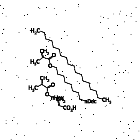 C=C(C)C(=O)OCCCCCC.C=C(C)C(=O)OCCCCCCCCCCCCCCCCCC.C=CC(=O)O.[CH2]CCCCCCCCCCCCCCCCC